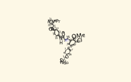 CCCCOCCOc1ccc(-c2cc(Cl)c(OC)c(/C=C/C(=O)Nc3ccc([S@+]([O-])Cc4cncn4CCC)cc3)c2)cc1